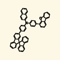 c1ccc2c(c1)-c1ccccc1C21c2ccccc2-c2ccc(-c3ccc(N(c4ccc(-c5cccc6c5oc5ccccc56)cc4)c4ccc5ccccc5c4)cc3)cc21